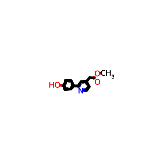 COC(=O)Cc1ccnc(-c2ccc(O)cc2)c1